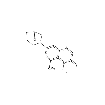 COc1cc(N2CC3CC(C2)O3)cc2ncc(=O)n(C)c12